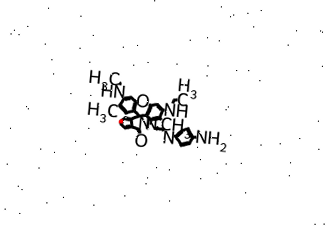 CCNc1cc2c(cc1C)C1(c3cc(C)c(NCC)cc3O2)c2ccccc2C(=O)N1/N=C/C=N/c1ccc(N)cc1